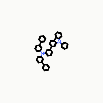 c1ccc(-c2cccc(N(c3cccc(-c4ccccc4)c3)c3cccc(-c4ccc5c6ccccc6n(-c6ccccc6)c5c4)c3)c2)cc1